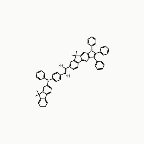 [2H]/C(=C(/[2H])c1ccc2c(c1)C(C)(C)c1cc3c(cc1-2)c(-c1ccccc1)c(-c1ccccc1)n3-c1ccccc1)c1ccc(N(c2ccccc2)c2ccc3c(c2)C(C)(C)c2ccccc2-3)cc1